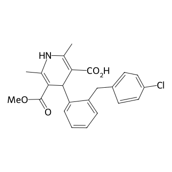 COC(=O)C1=C(C)NC(C)=C(C(=O)O)C1c1ccccc1Cc1ccc(Cl)cc1